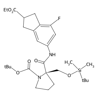 CCOC(=O)C1Cc2cc(NC(=O)[C@]3(CO[Si](C)(C)C(C)(C)C)CCCN3C(=O)OC(C)(C)C)cc(F)c2C1